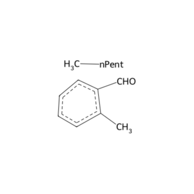 CCCCCC.Cc1ccccc1C=O